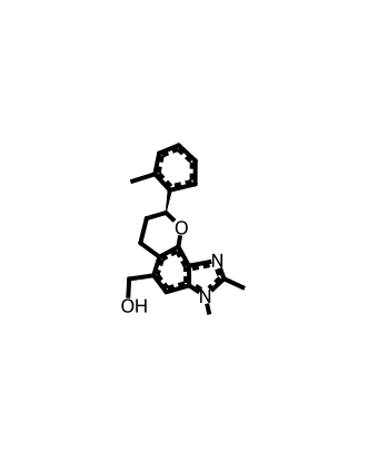 Cc1ccccc1[C@@H]1CCc2c(CO)cc3c(nc(C)n3C)c2O1